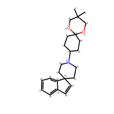 CC1(C)COC2(CCC(N3CCC4(C=Cc5ccccc54)CC3)CC2)OC1